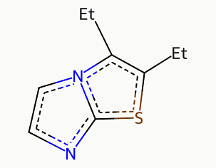 CCc1sc2nccn2c1CC